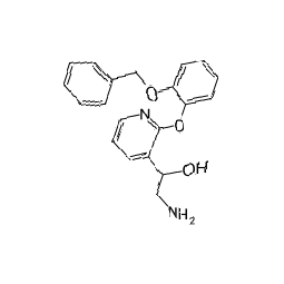 NCC(O)c1cccnc1Oc1ccccc1OCc1ccccc1